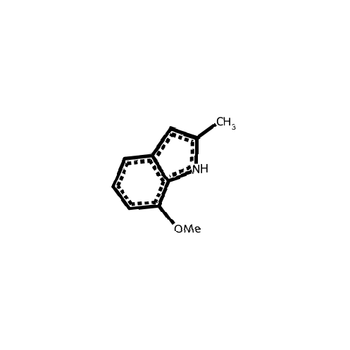 COc1cccc2cc(C)[nH]c12